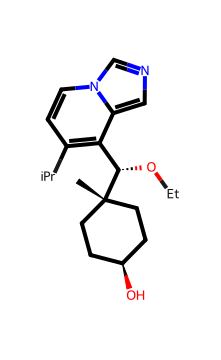 CCO[C@@H](c1c(C(C)C)ccn2cncc12)[C@]1(C)CC[C@@H](O)CC1